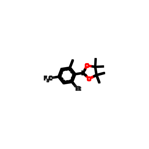 CCc1cc(C(F)(F)F)cc(C)c1B1OC(C)(C)C(C)(C)O1